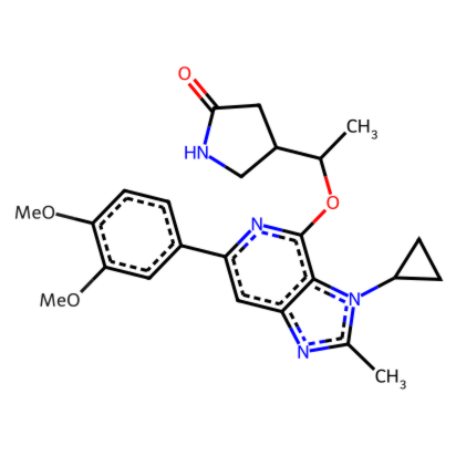 COc1ccc(-c2cc3nc(C)n(C4CC4)c3c(OC(C)C3CNC(=O)C3)n2)cc1OC